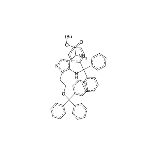 CC(C)(C)OC(=O)C(N)c1cnn(CCOC(c2ccccc2)(c2ccccc2)c2ccccc2)c1NC(c1ccccc1)(c1ccccc1)c1ccccc1